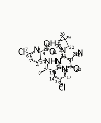 C[C@@H](Nc1ccc(Cl)nc1C(=O)O)c1cc(Cl)cn2c(=O)c(C#N)c(N3CC4CC4C3)nc12